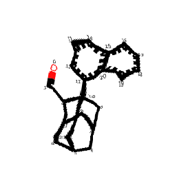 O=CC1C2CC3CC(C2)CC1(c1cccc2ccccc12)C3